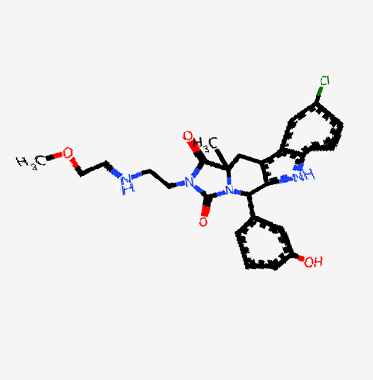 COCCNCCN1C(=O)N2C(c3cccc(O)c3)c3[nH]c4ccc(Cl)cc4c3CC2(C)C1=O